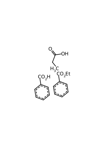 CCC(=O)O.CCOC(=O)c1ccccc1.O=C(O)c1ccccc1